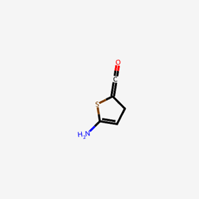 NC1=CCC(=C=O)S1